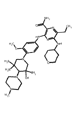 BC1(B)CN(c2ccc(Nc3nc(NC4CCOCC4)c(CC)nc3C(N)=O)cc2OC)CC(B)(O)C1N1CCN(C)CC1